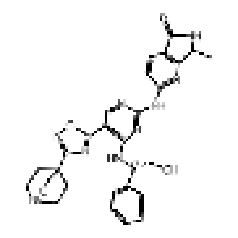 CC1NC(=O)c2ccc(Nc3ncc(-c4nc(C56CCN(CC5)CC6)no4)c(N[C@H](CO)c4ccccc4)n3)nc21